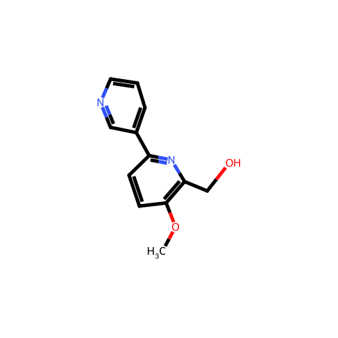 COc1ccc(-c2cccnc2)nc1CO